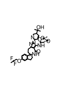 CC(F)(F)COc1ccc2c(c1)CC[C@]21CCc2nn(C3=NCC(C(C)(C)O)C=C3)c(NC(=O)CS(C)(=O)=O)c2C(=O)N1